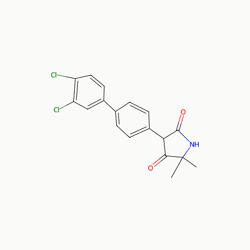 CC1(C)NC(=O)C(c2ccc(-c3ccc(Cl)c(Cl)c3)cc2)C1=O